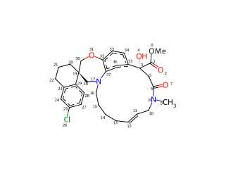 COC(=O)[C@@]1(O)CC(=O)N(C)C/C=C/CCCCN2C[C@@]3(CCCc4cc(Cl)ccc43)COc3ccc1cc32